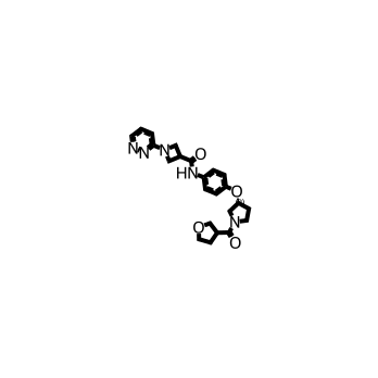 O=C(Nc1ccc(O[C@@H]2CCN(C(=O)C3CCOC3)C2)cc1)C1CN(c2cccnn2)C1